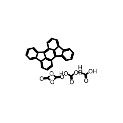 O=C(O)O.O=C(O)O.O=C1OC(=O)O1.c1ccc2c(c1)c1cccc3c4c5ccccc5c5cccc(c2c13)c54